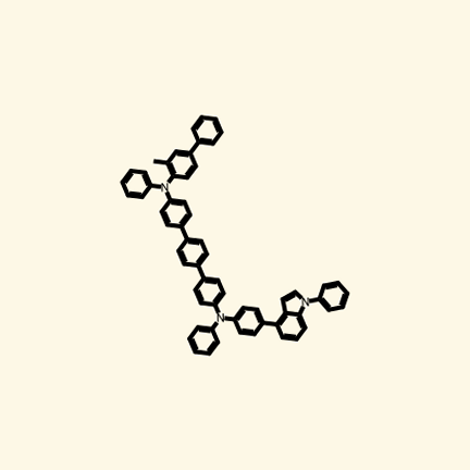 Cc1cc(-c2ccccc2)ccc1N(c1ccccc1)c1ccc(-c2ccc(-c3ccc(N(c4ccccc4)c4ccc(-c5cccc6c5ccn6-c5ccccc5)cc4)cc3)cc2)cc1